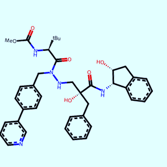 COC(=O)N[C@H](C(=O)N(Cc1ccc(-c2cccnc2)cc1)NC[C@](O)(Cc1ccccc1)C(=O)N[C@H]1c2ccccc2C[C@H]1O)C(C)(C)C